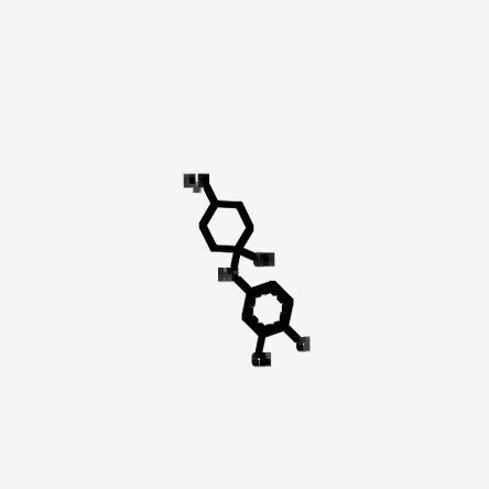 N#Cc1cc(NC2(O)CCC(N)CC2)ccc1Cl